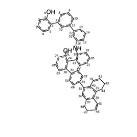 Oc1ccccc1-c1cccc(-c2cccc(Nc3ccccc3-c3c(O)cccc3-c3ccc(-c4cc5c(c6c4C=CCC6)C=CCC5)cc3)c2)c1